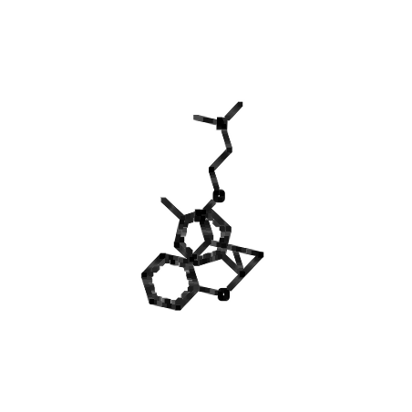 Cc1ccc(C23CC2C(=NOCCN(C)C)c2ccccc2O3)cc1